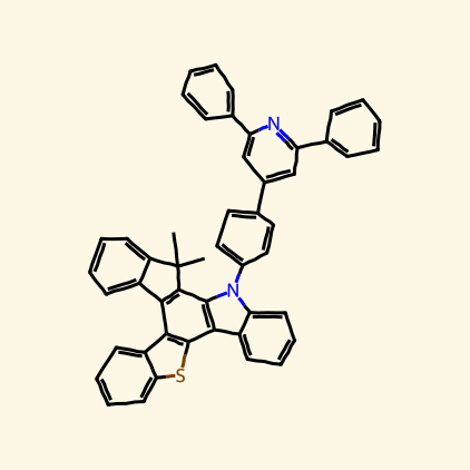 CC1(C)c2ccccc2-c2c1c1c(c3ccccc3n1-c1ccc(-c3cc(-c4ccccc4)nc(-c4ccccc4)c3)cc1)c1sc3ccccc3c21